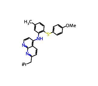 COc1ccc(Sc2ccc(C)cc2Nc2ccnc3nc(CC(C)C)ccc23)cc1